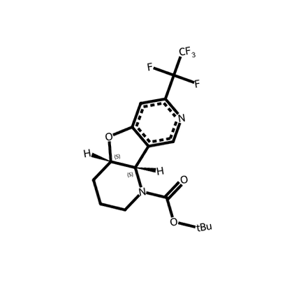 CC(C)(C)OC(=O)N1CCC[C@@H]2Oc3cc(C(F)(F)C(F)(F)F)ncc3[C@@H]21